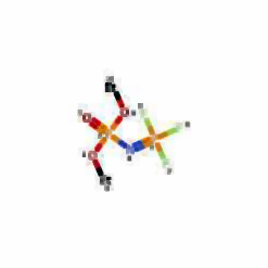 CCOP(=O)(N=P(F)(F)F)OCC